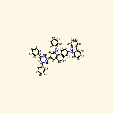 c1ccc(-c2cc(-c3ccccc3)nc(-c3cc4c5c6c(cc(-n7c8ccccc8c8ccccc87)cc6n(-c6ccccc6)c5c3)CC4)n2)cc1